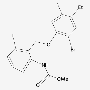 CCc1cc(Br)c(OCc2c(I)cccc2NC(=O)OC)cc1C